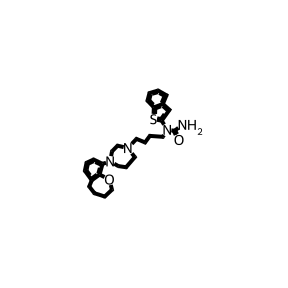 NC(=O)N(CCCCN1CCCN(c2cccc3c2OCCCC3)CC1)c1cc2ccccc2s1